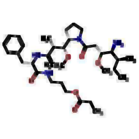 C=C(N[C@@H](Cc1ccccc1)C(=O)NCCCOC(=O)CC)[C@H](C)[C@@H](OC)[C@@H]1CCCN1C(=O)C[C@@H](OC)[C@@H](N)[C@@H](C)CC